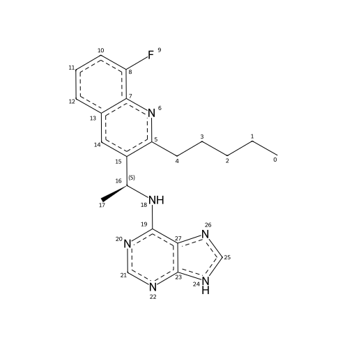 CCCCCc1nc2c(F)cccc2cc1[C@H](C)Nc1ncnc2[nH]cnc12